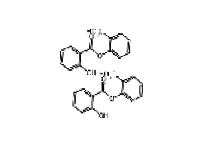 O=C(Oc1ccccc1C(=O)O)c1ccccc1O.O=C(Oc1ccccc1C(=O)O)c1ccccc1O